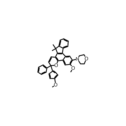 COc1ccc(C2(c3ccccc3)C=Cc3c4c(c5cc(N6CCOCC6)c(OC)cc5c3O2)-c2ccccc2C4(C)C)cc1